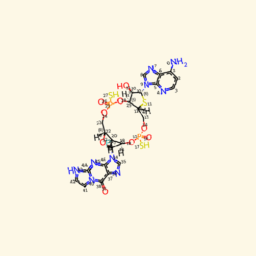 Nc1ccnc2c1ncn2[C@@H]1S[C@@H]2COP(=O)(S)O[C@@H]3[C@H](F)[C@@H](COP(=O)(S)O[C@H]2[C@H]1O)O[C@H]3n1cnc2c(=O)n3cc[nH]c3nc21